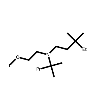 CCC(C)(C)CCN(CCOI)C(C)(C)C(C)C